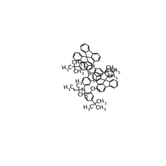 C=CC(C)(C)N(c1ccc2c(c1)N(c1cccc3c1C1(c4ccccc4-c4ccccc41)c1ccccc1-3)c1cc(C(C)(C)C)cc3c1B2c1cc(C(C)(C)C)ccc1N3c1cccc2c1C1(c3ccccc3-c3ccccc31)c1ccccc1-2)c1ccc(C(C)(C)C)cc1C